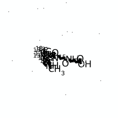 CN1CCN([13CH2][13CH]2[13CH2][13CH2][13CH2]N2[13CH2][13C](=O)[15NH]CCCC(=O)[15NH]CCCC(=O)O)[13CH2][13CH2]1